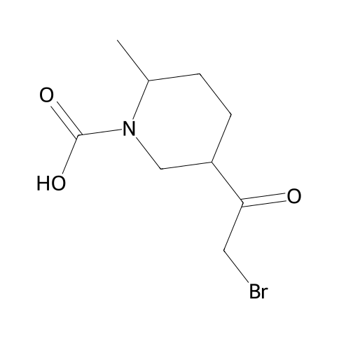 CC1CCC(C(=O)CBr)CN1C(=O)O